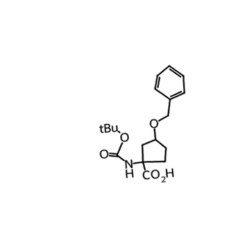 CC(C)(C)OC(=O)NC1(C(=O)O)CCC(OCc2ccccc2)C1